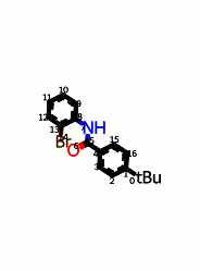 CC(C)(C)c1ccc(C(=O)Nc2ccccc2Br)cc1